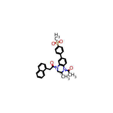 CC(=O)N1c2ccc(-c3ccc(S(C)(=O)=O)cc3)cc2N(C(=O)Cc2cccc3ccccc23)C[C@@H]1C